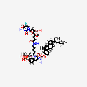 CC(C)CCCC(C)C1CC[C@H]2C3CC=C4CC(OC(=O)NC(Cc5ccc(OP(=O)(O)O)cc5)C(=O)N[C@H](CCCCNC(=O)CCC(=O)C5OC(n6cc(F)c(=O)[nH]c6=O)CC5O)C(=O)O)CCC4(C)[C@H]3CCC12C